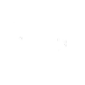 Cc1cc(C2=CC[C@@H]3CCCN[C@@H]3C2)cnc1Cl